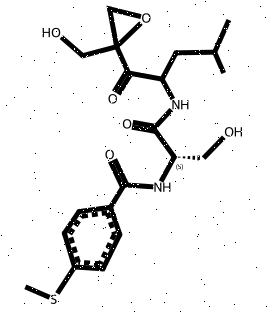 CSc1ccc(C(=O)N[C@@H](CO)C(=O)NC(CC(C)C)C(=O)C2(CO)CO2)cc1